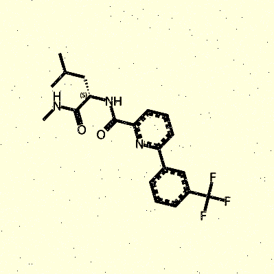 CNC(=O)[C@H](CC(C)C)NC(=O)c1cccc(-c2cccc(C(F)(F)F)c2)n1